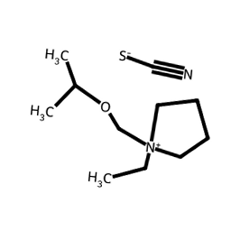 CC[N+]1(COC(C)C)CCCC1.N#C[S-]